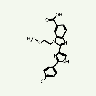 COCCn1c(-c2c[nH]c(-c3ccc(Cl)cc3)n2)nc2ccc(C(=O)O)cc21